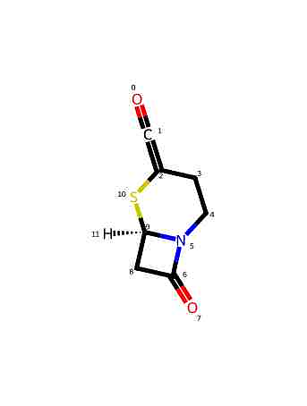 O=C=C1CCN2C(=O)C[C@H]2S1